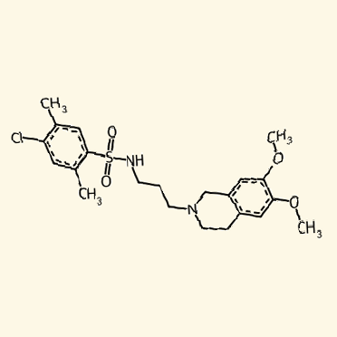 COc1cc2c(cc1OC)CN(CCCNS(=O)(=O)c1cc(C)c(Cl)cc1C)CC2